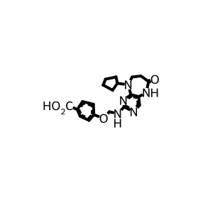 O=C1CCN(C2CCCC2)c2nc(NCOc3ccc(C(=O)O)cc3)ncc2N1